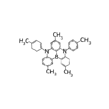 CC1=CC=C(N2c3ccc(C)cc3B3C4=C(CCC(C)=C4)N(c4ccc(C)cc4)c4cc(C)cc2c43)CC1